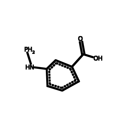 O=C(O)c1cccc(NP)c1